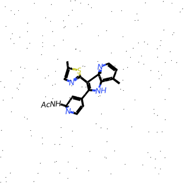 CC(=O)Nc1cc(-c2[nH]c3c(C)ccnc3c2-c2ncc(C)s2)ccn1